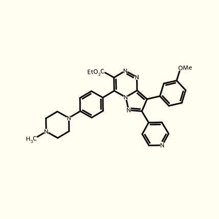 CCOC(=O)c1nnc2c(-c3cccc(OC)c3)c(-c3ccncc3)nn2c1-c1ccc(N2CCN(C)CC2)cc1